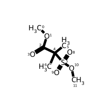 COC(=O)C(C)(C)S(=O)(=O)OC